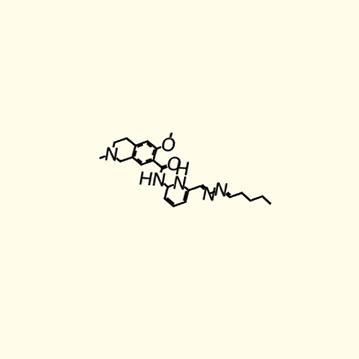 CCCC/C=N/N=C/C1=CC=CC(NC(=O)c2cc3c(cc2OC)CCN(C)C3)N1